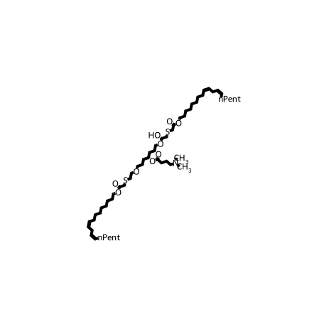 CCCCC/C=C\C/C=C\CCCCCCCCOC(=O)CSCCOCCCC(CCCOC(O)CSCC(=O)OCCCCCCCC/C=C\C/C=C\CCCCC)OC(=O)CCCN(C)C